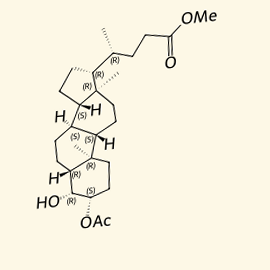 COC(=O)CC[C@@H](C)[C@H]1CC[C@H]2[C@@H]3CC[C@H]4[C@@H](O)[C@@H](OC(C)=O)CC[C@]4(C)[C@H]3CC[C@]12C